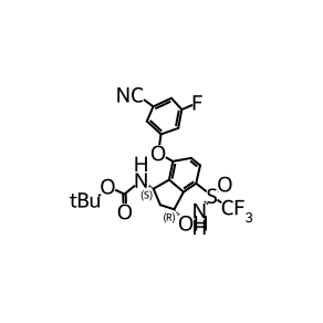 CC(C)(C)OC(=O)N[C@H]1C[C@@H](O)c2c(S(=N)(=O)C(F)(F)F)ccc(Oc3cc(F)cc(C#N)c3)c21